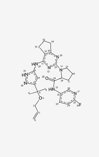 C=CCOC(C)(C)c1cc(Nc2nc(N3CCCC3C(=O)Nc3ccc(F)nc3)nc3c2CCC3)[nH]n1